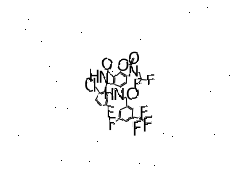 O=C(Nc1cc2c(oc(=O)n2CC(F)F)c2c1C(c1cc(F)ccc1Cl)NC2=O)c1cc(F)cc(C(F)(F)F)c1